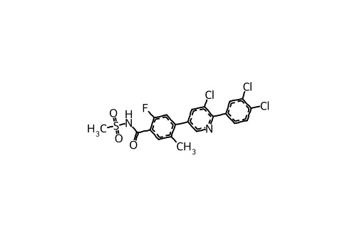 Cc1cc(C(=O)NS(C)(=O)=O)c(F)cc1-c1cnc(-c2ccc(Cl)c(Cl)c2)c(Cl)c1